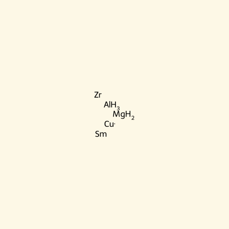 [AlH3].[Cu].[MgH2].[Sm].[Zr]